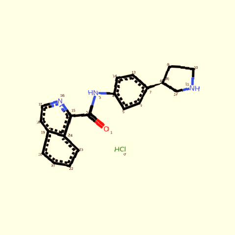 Cl.O=C(Nc1ccc([C@H]2CCNC2)cc1)c1nccc2ccccc12